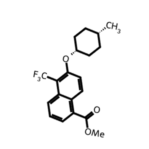 COC(=O)c1cccc2c(C(F)(F)F)c(O[C@H]3CC[C@@H](C)CC3)ccc12